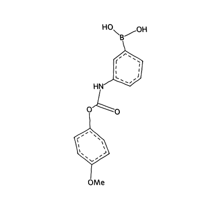 COc1ccc(OC(=O)Nc2cccc(B(O)O)c2)cc1